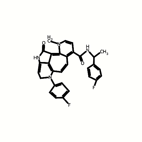 CC(NC(=O)C1=c2ccc3c4c([nH]c(=O)c-4c2N(C)C=C1)=CCN3c1ccc(F)cc1)c1ccc(F)cc1